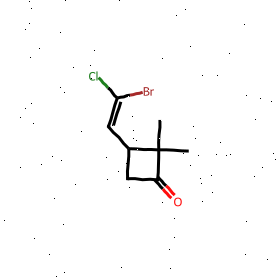 CC1(C)C(=O)CC1C=C(Cl)Br